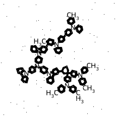 Cc1ccc(N(c2ccccc2)c2ccc(-c3ccc(N(c4ccccc4)c4ccc(C)c(-c5ccc6c(c5)c5ccccc5n6-c5ccc(N(c6ccc(-n7c8ccccc8c8ccccc87)cc6)c6ccc(-n7c8ccccc8c8cc(C9CCCC(c%10ccc(N(c%11ccc(C)cc%11)c%11ccc(C)cc%11)cc%10)(c%10ccc(N(c%11ccc(C)cc%11)c%11ccc(C)cc%11)cc%10)C9)ccc87)cc6)cc5)c4)cc3)cc2)cc1